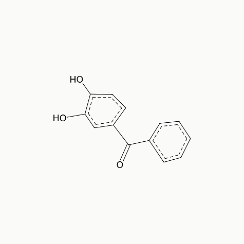 O=C(c1ccccc1)c1ccc(O)c(O)c1